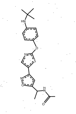 CC(=O)NC(C)c1cc(-c2cnc(Oc3ccc(NC(C)(C)C)cc3)s2)no1